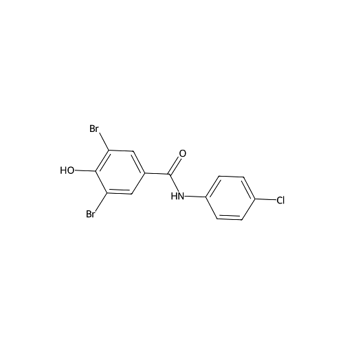 O=C(Nc1ccc(Cl)cc1)c1cc(Br)c(O)c(Br)c1